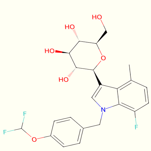 Cc1ccc(F)c2c1c([C@@H]1O[C@H](CO)[C@@H](O)[C@H](O)[C@H]1O)cn2Cc1ccc(OC(F)F)cc1